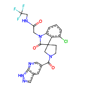 O=C(CN1C(=O)C2(CCN(C(=O)c3cnc4[nH]ncc4c3)C2)c2c(Cl)cccc21)NCC(F)(F)F